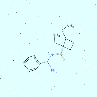 CCC1CCC1(CC)C(=S)NC(N)c1ccccc1